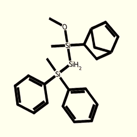 CO[Si](C)([SiH2][Si](C)(c1ccccc1)c1ccccc1)C1CC2C=CC1C2